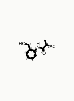 CC(=O)C(C)C(=O)Nc1ccccc1CO